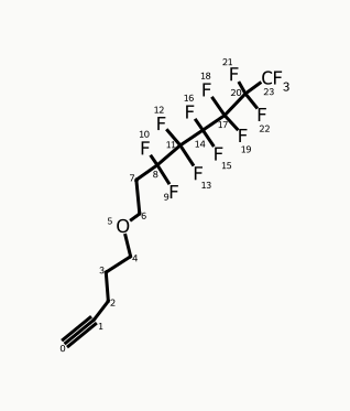 C#CCCCOCCC(F)(F)C(F)(F)C(F)(F)C(F)(F)C(F)(F)C(F)(F)F